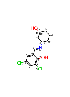 Oc1c(Cl)cc(Cl)cc1C=N[C@H]1CCC[C@@H](O)C1